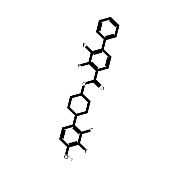 Cc1ccc(C2CCC(OC(=O)c3ccc(-c4ccccc4)c(F)c3F)CC2)c(F)c1F